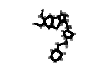 COc1cc2c(cc1OC)-c1n[nH]c(Nc3ccc(OCc4ccccc4)cc3)c1C2